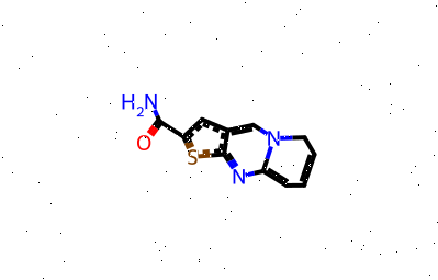 NC(=O)c1cc2c(s1)=NC1=CC=CCN1C=2